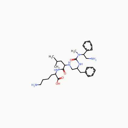 CC(C)CC(NCC(Cc1ccccc1)NC(=O)N(C)C(CN)c1ccccc1)C(=O)NC(CCCCN)C(=O)O